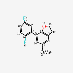 COc1cc2c(c(-c3cc(F)ccc3F)c1)O[CH]C2